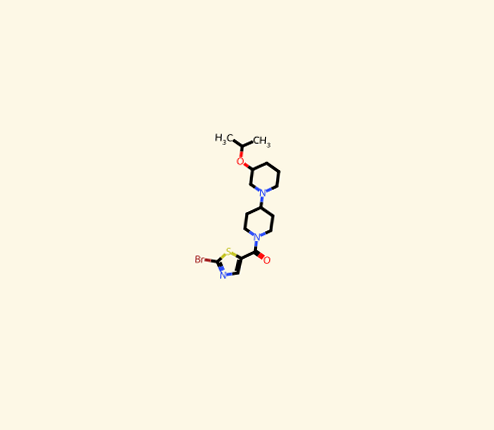 CC(C)OC1CCCN(C2CCN(C(=O)c3cnc(Br)s3)CC2)C1